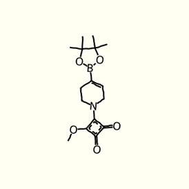 COc1c(N2CC=C(B3OC(C)(C)C(C)(C)O3)CC2)c(=O)c1=O